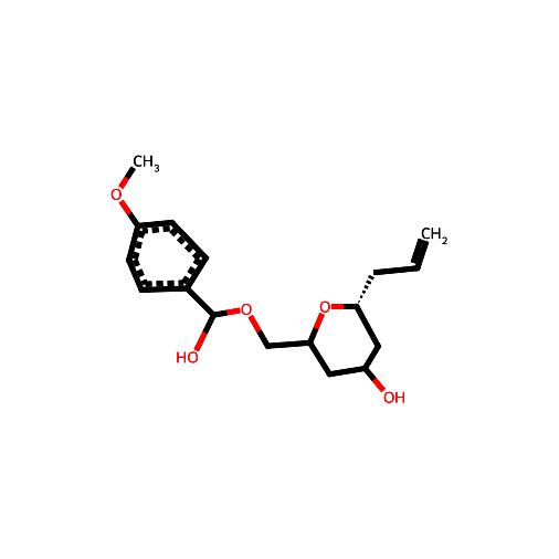 C=CC[C@@H]1CC(O)CC(COC(O)c2ccc(OC)cc2)O1